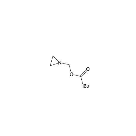 CCC(C)C(=O)OCN1CC1